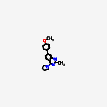 COc1ccc(-c2ccc3c(N4CCCC4)nc(C)nc3c2)cc1